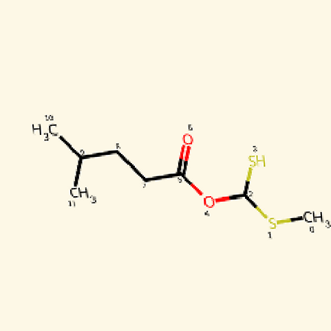 CSC(S)OC(=O)CCC(C)C